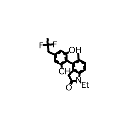 CCN1C(=O)Cc2c1ccc(C)c2-c1c(O)cc(CC(C)(F)F)cc1O